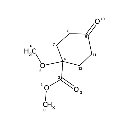 COC(=O)C1(OC)CCC(=O)CC1